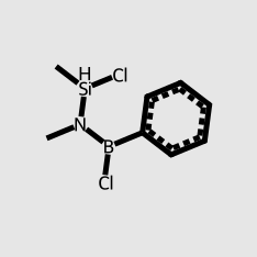 CN(B(Cl)c1ccccc1)[SiH](C)Cl